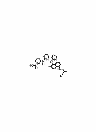 Cc1ccc2c(NCC(C)C#N)cccc2c1Oc1ncccc1-c1ccnc(N[C@H]2CCCN(C(=O)O)C2)n1